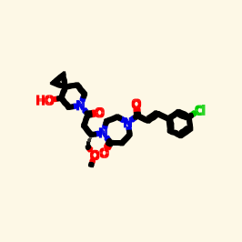 COC[C@H](CC(=O)N1CCC2(CC2)C(O)C1)N1CCN(C(=O)C=Cc2cccc(Cl)c2)CCC1=O